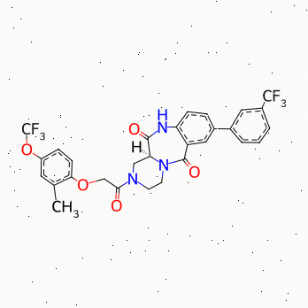 Cc1cc(OC(F)(F)F)ccc1OCC(=O)N1CCN2C(=O)c3cc(-c4cccc(C(F)(F)F)c4)ccc3NC(=O)[C@@H]2C1